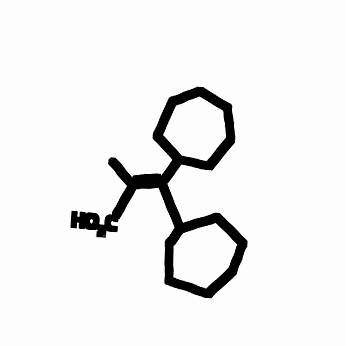 CC(C(=O)O)=C(C1CCCCCC1)C1CCCCCC1